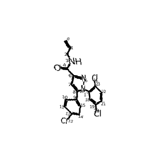 C=CCNC(=O)c1cc(-c2ccc(Cl)cc2)n(-c2cc(Cl)ccc2Cl)n1